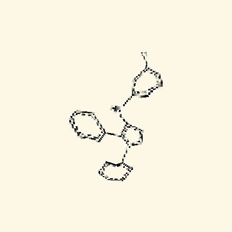 Clc1cccc(Nc2ccn(-c3ccccc3)c2-c2ccccc2)c1